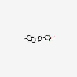 CCC1CC[C@@H]2C[C@H](c3ccc(-c4cc(F)c(OC(F)(F)F)c(F)c4)c(F)c3)CC[C@@H]2C1